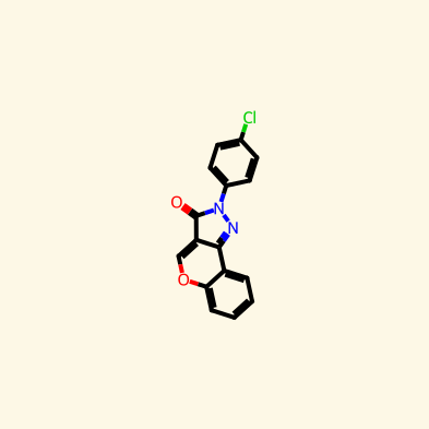 O=c1c2coc3ccccc3c-2nn1-c1ccc(Cl)cc1